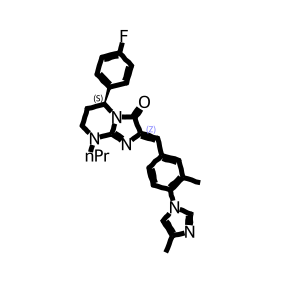 CCCN1CC[C@@H](c2ccc(F)cc2)N2C(=O)/C(=C/c3ccc(-n4cnc(C)c4)c(C)c3)N=C12